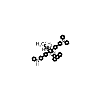 CC(C)CNNC1CC(c2ccc(-c3ccc(N(c4ccccc4)c4ccccc4)cc3)cc2)=c2nc3c(nc2=C1c1ccc(-c2ccc(Nc4ccccc4)cc2)cc1)-c1cccc2cc4ccccc4c-3c12